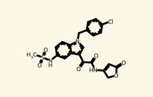 CS(=O)(=O)Nc1ccc2c(c1)c(C(=O)C(=O)NC1=CC(=O)OC1)cn2Cc1ccc(Cl)cc1